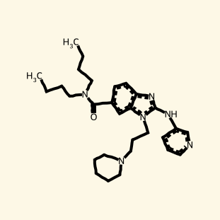 CCCCN(CCCC)C(=O)c1ccc2nc(Nc3cccnc3)n(CCCN3CCCCC3)c2c1